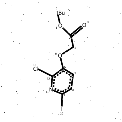 CC(C)(C)OC(=O)COc1ccc(I)nc1Cl